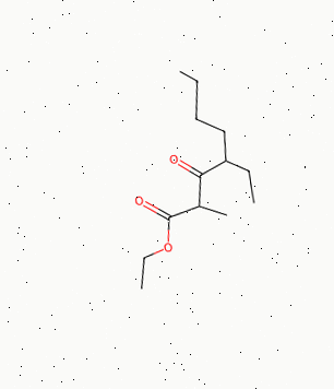 CCCCC(CC)C(=O)C(C)C(=O)OCC